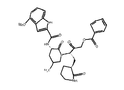 COc1cccc2[nH]c(C(=O)N[C@H]3CC(C)CN([C@@H](C[C@@H]4CCCNC4=O)C(=O)COC(=O)c4ccccc4)C3=O)cc12